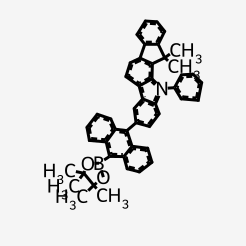 CC1(C)c2ccccc2-c2ccc3c4cc(-c5c6ccccc6c(B6OC(C)(C)C(C)(C)O6)c6ccccc56)ccc4n(-c4ccccc4)c3c21